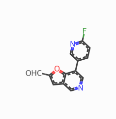 O=Cc1cc2cncc(-c3ccc(F)nc3)c2o1